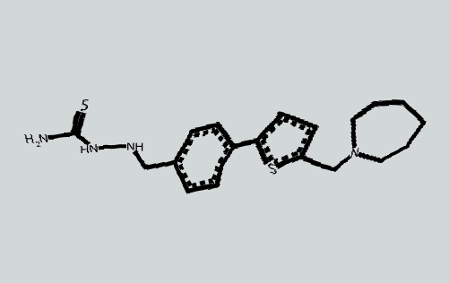 NC(=S)NNCc1ccc(-c2ccc(CN3CCCCCC3)s2)cc1